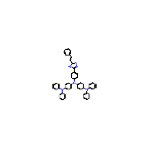 C(=Cc1nnc(-c2ccc(N(c3ccc(N(c4ccccc4)c4ccccc4)cc3)c3ccc(N(c4ccccc4)c4ccccc4)cc3)cc2)[nH]1)c1ccccc1